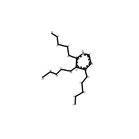 CCCCCc1bccc(CCCCC)c1CCCCC